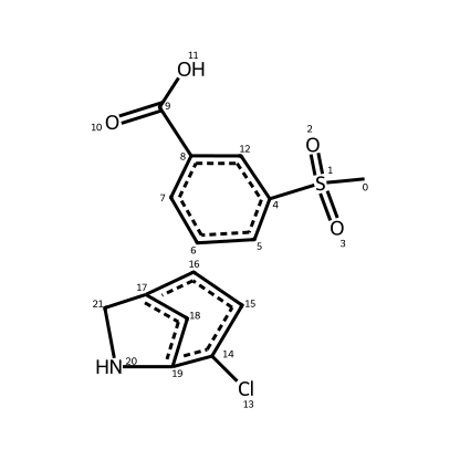 CS(=O)(=O)c1cccc(C(=O)O)c1.Clc1ccc2cc1NC2